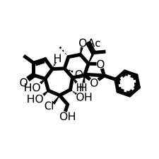 C=C(C)[C@@]12OC3(c4ccccc4)O[C@@H]1[C@@H]1[C@H](O)[C@](Cl)(CO)[C@@H](O)[C@]4(O)C(=O)C(C)=C[C@H]4[C@@]1(O3)[C@H](C)[C@H]2OC(C)=O